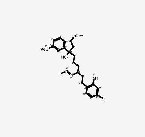 CCCCCCCCCCCCC(C#N)(CCCC(CCc1ccc(CC)cc1S)N=NC)c1cccc(OC)c1